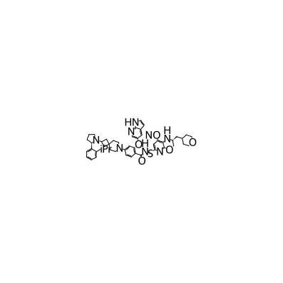 CC(C)c1ccccc1[C@H]1CCCN1C1CC2(CCN(c3ccc(C(=O)NSc4cc(N=O)c5c(n4)OC[C@H](CC4CCOCC4)N5)c(Oc4cnc5[nH]ccc5c4)c3)CC2)C1